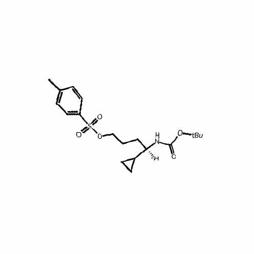 [2H][C@](CCCOS(=O)(=O)c1ccc(C)cc1)(NC(=O)OC(C)(C)C)C1CC1